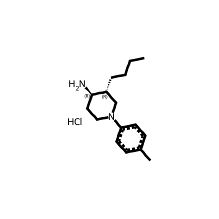 CCCC[C@@H]1CN(c2ccc(C)cc2)CC[C@H]1N.Cl